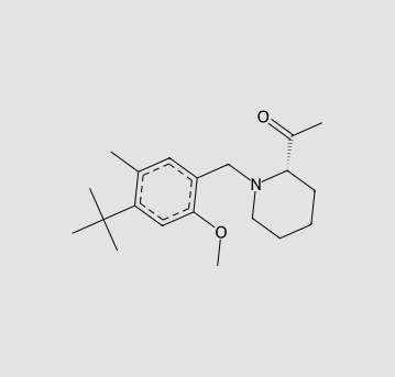 COc1cc(C(C)(C)C)c(C)cc1CN1CCCC[C@H]1C(C)=O